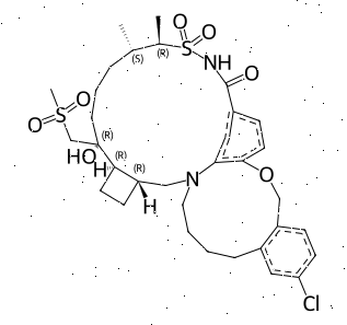 C[C@@H]1[C@@H](C)CCC[C@](O)(CS(C)(=O)=O)[C@@H]2CC[C@H]2CN2CCCCc3cc(Cl)ccc3COc3ccc(cc32)C(=O)NS1(=O)=O